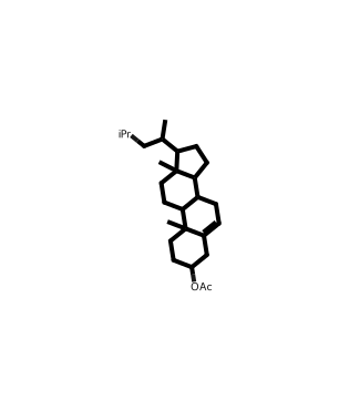 CC(=O)OC1CCC2(C)C(=CCC3C2CCC2(C)C(C(C)CC(C)C)CCC32)C1